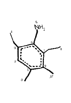 Cc1cc(C)c(N)c(C)c1C